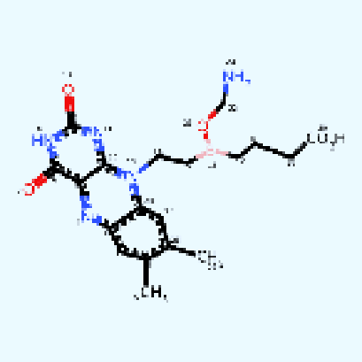 Cc1cc2nc3c(=O)[nH]c(=O)nc-3n(CCB(CCCC(=O)O)OCN)c2cc1C